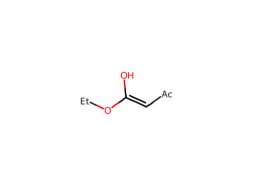 CCO/C(O)=C/C(C)=O